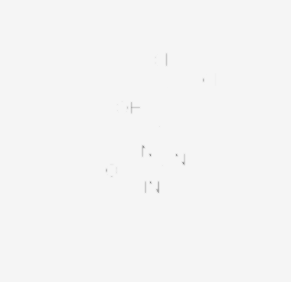 CC(C)Nc1nc2cc(Cl)c(Cl)cc2n1C1OCCCC1O